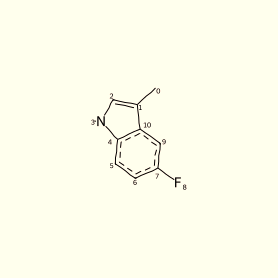 CC1=C[N]c2ccc(F)cc21